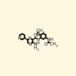 COc1ccc(NC(C)=O)cc1NC(O)c1nc(-c2cccnc2)cnc1N